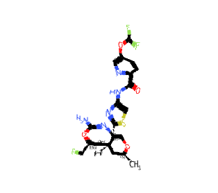 C[C@H]1C[C@H]2[C@@H](CF)OC(N)=N[C@@]2(c2nc(NC(=O)c3ccc(OC(F)F)cn3)cs2)CO1